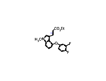 CCOC(=O)/C=C/c1cn(C)c2cccc(Oc3ccc(F)c(F)c3)c12